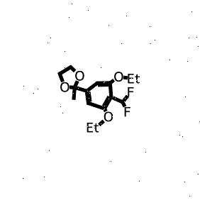 CCOc1cc(C2(C)OCCO2)cc(OCC)c1C(F)F